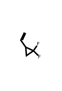 C=CC1CC1(F)F